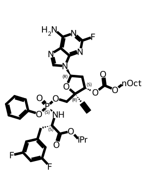 C#C[C@]1(CO[P@@](=O)(N[C@@H](Cc2cc(F)cc(F)c2)C(=O)OC(C)C)Oc2ccccc2)O[C@@H](n2cnc3c(N)nc(F)nc32)C[C@@H]1OC(=O)OCCCCCCCC